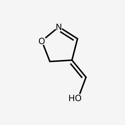 OC=C1C=NOC1